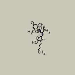 CCCCC[C@H](NC(=O)/C=C(C)\C=C\[C@@]1(O)C(C)=CC(=O)CC1(C)C)C(=O)O